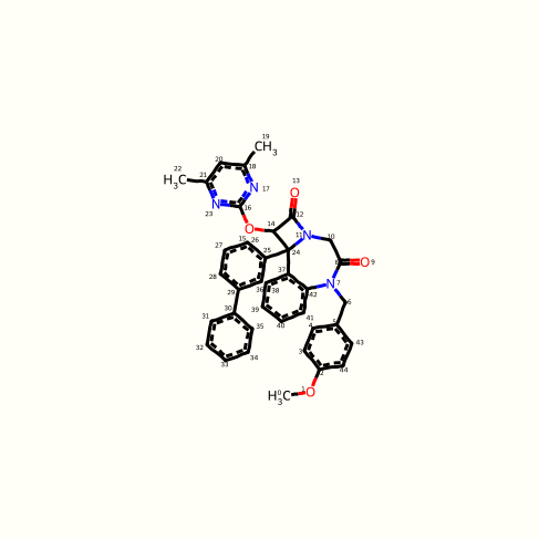 COc1ccc(CN2C(=O)CN3C(=O)C(Oc4nc(C)cc(C)n4)C3(c3cccc(-c4ccccc4)c3)c3ccccc32)cc1